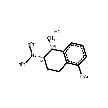 CCCN(CCC)[C@H]1CCc2c(OC(C)=O)cccc2[C@H]1C.Cl